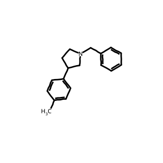 Cc1ccc(C2CCN(Cc3ccccc3)C2)cc1